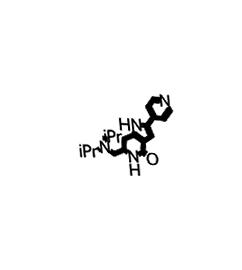 CC(C)N(CC1Cc2[nH]c(-c3ccncc3)cc2C(=O)N1)C(C)C